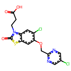 O=C(O)CCn1c(=O)sc2cc(OCc3ncc(Cl)cn3)c(Cl)cc21